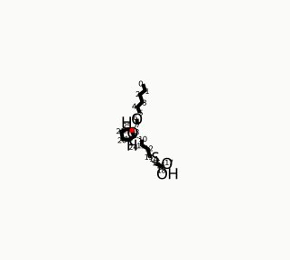 CCCCCCOC[C@@H]1[C@H](CCCCSCC(=O)O)[C@@H]2CC[C@H]1O2